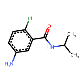 CC(C)NC(=O)c1cc(N)ccc1Cl